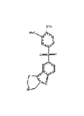 COc1ccc(S(=O)(=O)c2ccc3oc4c(c3c2)CCNC4)cc1OC